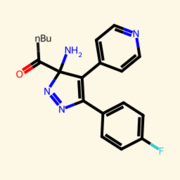 CCCCC(=O)C1(N)N=NC(c2ccc(F)cc2)=C1c1ccncc1